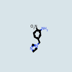 Nc1cc(Cn2ccnc2)ccc1[N+](=O)[O-]